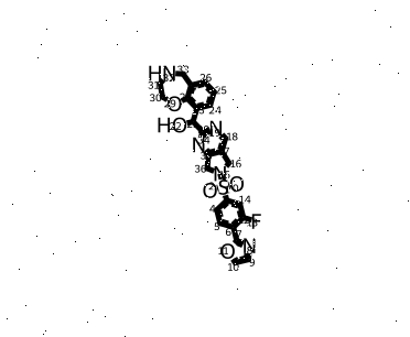 O=S(=O)(c1ccc(-c2ncco2)c(F)c1)N1Cc2cnc(C(O)c3cccc4c3OCCNC4)nc2C1